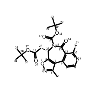 Cc1noc2c1-c1ccnc(F)c1C(=O)N(C(=O)OC(C)(C)C)[C@H]2CC(=O)OC(C)(C)C